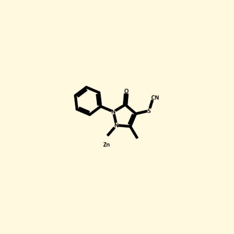 Cc1c(SC#N)c(=O)n(-c2ccccc2)n1C.[Zn]